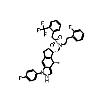 C[C@H]1C2=CNN(c3ccc(F)cc3)C2=CC2=C1[C@@H](CN(CCc1ccccc1F)S(=O)(=O)Cc1ccccc1C(F)(F)F)CC2